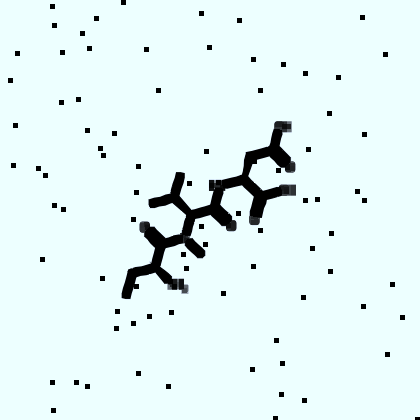 CC[C@H](N)C(=O)N(C)[C@H](C(=O)N[C@@H](CC(=O)O)C(=O)O)C(C)C